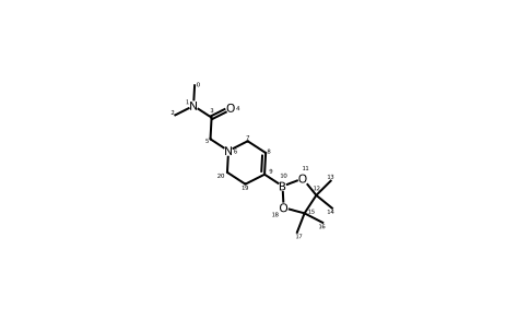 CN(C)C(=O)CN1CC=C(B2OC(C)(C)C(C)(C)O2)CC1